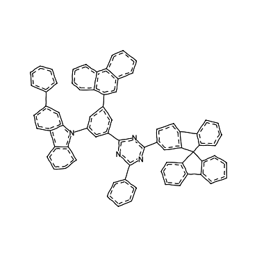 c1ccc(-c2ccc3c4ccccc4n(-c4cc(-c5nc(-c6ccccc6)nc(-c6ccc7c(c6)C6(c8ccccc8-c8ccccc86)c6ccccc6-7)n5)cc(-c5cc6ccccc6c6ccccc56)c4)c3c2)cc1